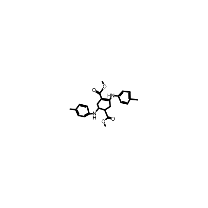 COC(=O)C1=C(Nc2ccc(C)cc2)CC(C(=O)OC)C(Nc2ccc(C)cc2)C1